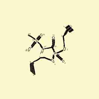 C#CCOP(=O)(OCC#C)C(=O)NS(C)(=O)=O